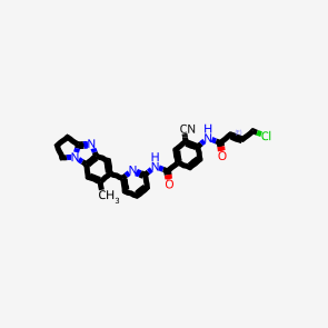 Cc1cc2c(cc1-c1cccc(NC(=O)c3ccc(NC(=O)/C=C/CCl)c(C#N)c3)n1)nc1n2CCC1